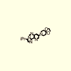 CC(C)c1cnc2c3ncc(N4CCC5(CC4)OCCO5)cc3ncn12